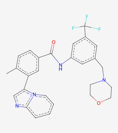 Cc1ccc(C(=O)Nc2cc(CN3CCOCC3)cc(C(F)(F)F)c2)cc1-c1cnc2ccccn12